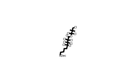 CCCCCCCCCCCCCCC(Cl)(Cl)C(Cl)(Cl)C(Cl)(Cl)C(=O)OC(Cl)(Cl)C(C)(C)CCl